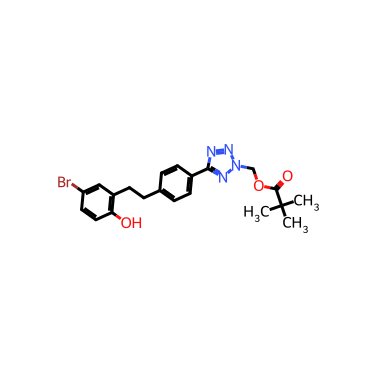 CC(C)(C)C(=O)OCn1nnc(-c2ccc(CCc3cc(Br)ccc3O)cc2)n1